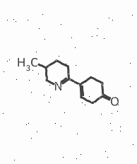 CC1CCC(C2=CCC(=O)CC2)=NC1